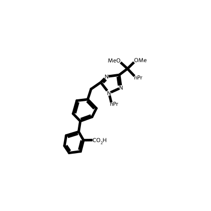 CCCn1nc(C(CCC)(OC)OC)nc1Cc1ccc(-c2ccccc2C(=O)O)cc1